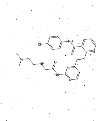 CN(C)CCNCC(=O)Nc1cc(CSc2ncccc2C(=O)Nc2ccc(Cl)cc2)ccn1